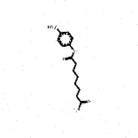 NC(=O)CCCCCCC(=O)Nc1ccc(C(=O)O)cc1